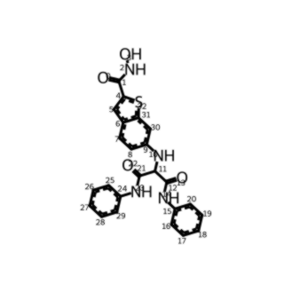 O=C(NO)c1cc2ccc(NC(C(=O)Nc3ccccc3)C(=O)Nc3ccccc3)cc2s1